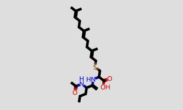 C=C(NC(CSC/C=C(\C)CC/C=C(\C)CCC=C(C)C)C(=O)O)C(CCC)NC(C)=O